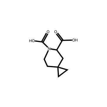 O=C(O)C1CC2(CCN1C(=O)O)CC2